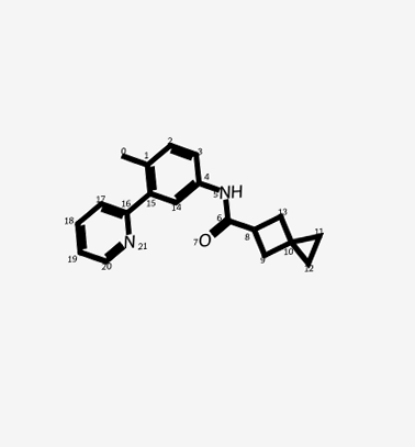 Cc1ccc(NC(=O)C2CC3(CC3)C2)cc1-c1ccccn1